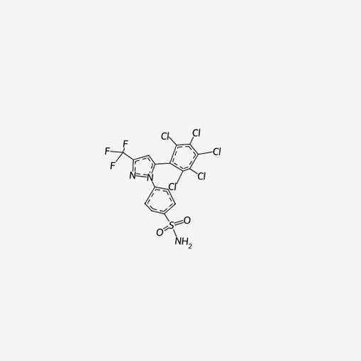 NS(=O)(=O)c1ccc(-n2nc(C(F)(F)F)cc2-c2c(Cl)c(Cl)c(Cl)c(Cl)c2Cl)cc1